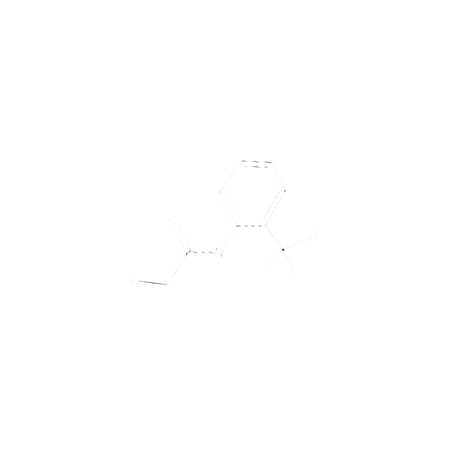 O=C(CBr)Nc1ccccc1C(F)(F)F